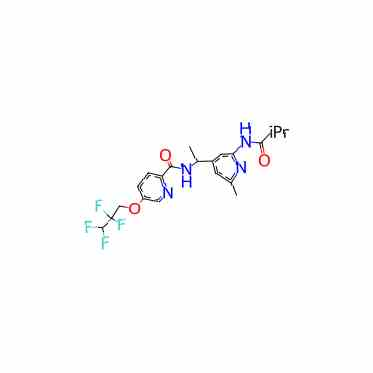 Cc1cc(C(C)NC(=O)c2ccc(OCC(F)(F)C(F)F)cn2)cc(NC(=O)C(C)C)n1